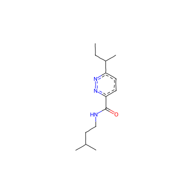 CCC(C)c1ccc(C(=O)NCCC(C)C)nn1